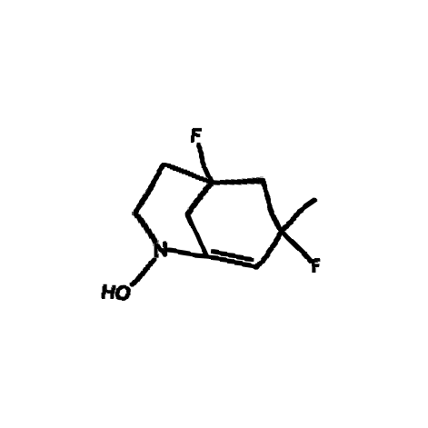 CC1(F)C=C2CC(F)(CCN2O)C1